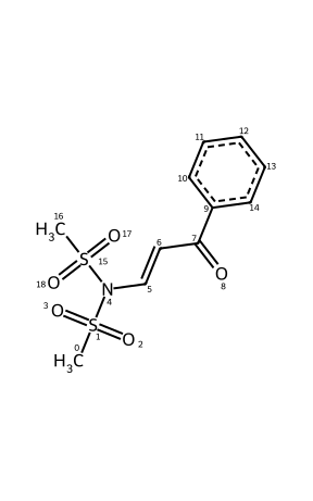 CS(=O)(=O)N(C=CC(=O)c1ccccc1)S(C)(=O)=O